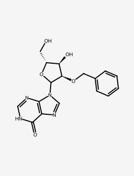 O=c1[nH]cnc2c1ncn2C1O[C@H](CO)[C@@H](O)[C@H]1OCc1ccccc1